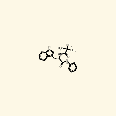 CC(C)(N)C(=O)N[C@@H](Cc1c[nH]c2ccccc12)C(=O)Nc1ccccc1